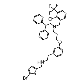 FC(F)(F)c1cccc(CN(CCCOc2cccc(CCNCc3ccc(Br)s3)c2)CC(c2ccccc2)c2ccccc2)c1Cl